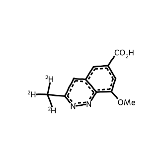 [2H]C([2H])([2H])c1cc2cc(C(=O)O)cc(OC)c2nn1